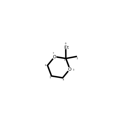 CCC1(C)OC[CH]CO1